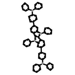 c1ccc(N(c2ccccc2)c2ccc(-c3ccc4c(c3)n(-c3ccccc3)c3c5ccc(-c6ccc(N(c7ccccc7)c7ccccc7)cc6)cc5n(-c5ccccc5)c43)cc2)cc1